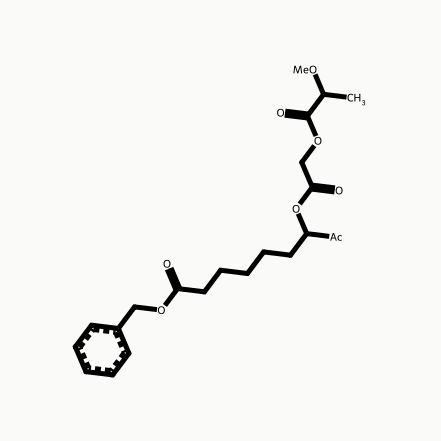 COC(C)C(=O)OCC(=O)OC(CCCCCC(=O)OCc1ccccc1)C(C)=O